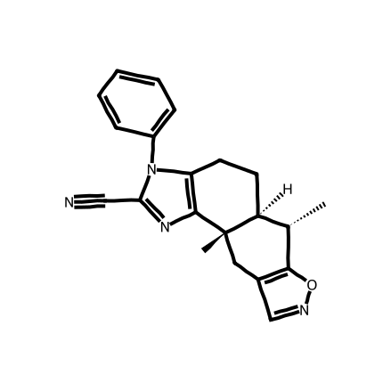 C[C@@H]1c2oncc2C[C@]2(C)c3nc(C#N)n(-c4ccccc4)c3CC[C@@H]12